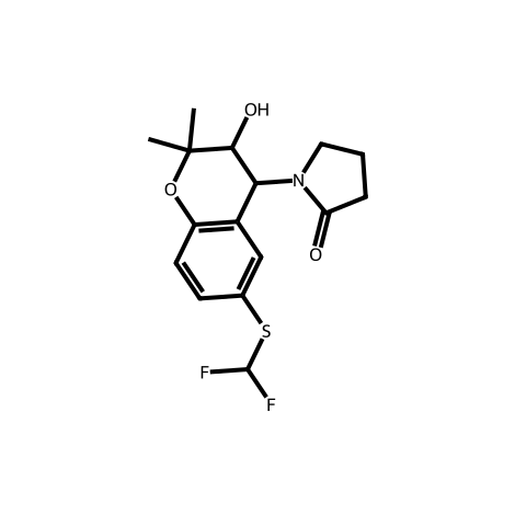 CC1(C)Oc2ccc(SC(F)F)cc2C(N2CCCC2=O)C1O